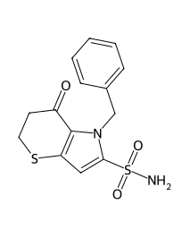 NS(=O)(=O)c1cc2c(n1Cc1ccccc1)C(=O)CCS2